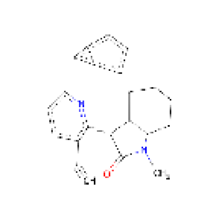 C#Cc1cccnc1[C@H]1C(=O)N(C)C2CCCCC21.c1cc2cc-2c1